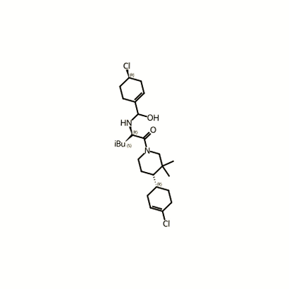 CC[C@H](C)[C@@H](NC(O)C1=CC[C@H](Cl)CC1)C(=O)N1CCC([C@H]2CC=C(Cl)CC2)C(C)(C)C1